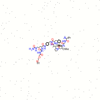 CCOCCOCC(=O)NCC(=O)NC(CCCNC(N)=O)C(=O)Nc1ccc(CNC(=O)C(Cc2ccccc2)NC(=O)C(C)C(OC)C2CCCN2C(=O)CC(OC)C(C(C)CC)N(C)C(=O)CNC(=O)C(C(C)C)N(C)C)cc1